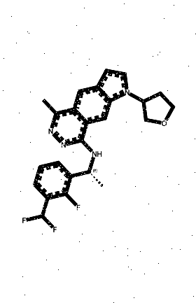 Cc1nnc(N[C@H](C)c2cccc(C(F)F)c2F)c2cc3c(ccn3C3CCOC3)cc12